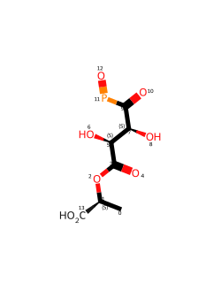 C[C@H](OC(=O)[C@@H](O)[C@H](O)C(=O)P=O)C(=O)O